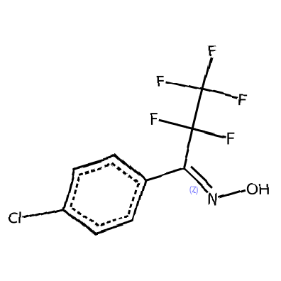 O/N=C(/c1ccc(Cl)cc1)C(F)(F)C(F)(F)F